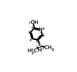 C[SH](C)c1ccc(O)nc1